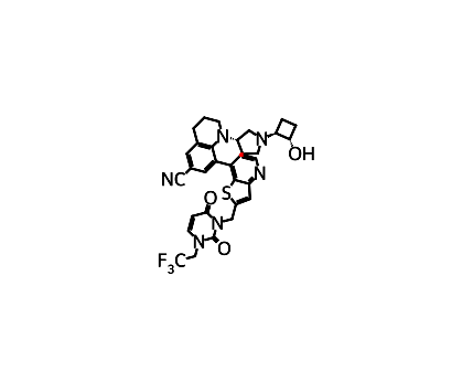 N#Cc1cc2c(c(-c3ccnc4cc(Cn5c(=O)ccn(CC(F)(F)F)c5=O)sc34)c1)N([C@H]1CCN([C@H]3CC[C@@H]3O)C1)CCC2